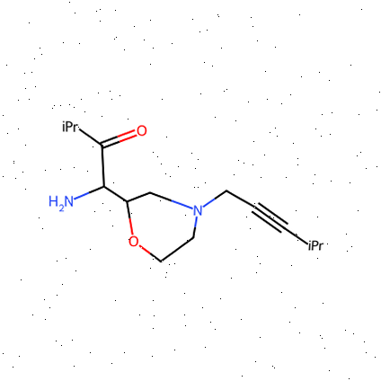 CC(C)C#CCN1CCOC(C(N)C(=O)C(C)C)C1